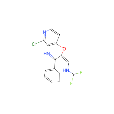 N=C(/C(=C\NC(F)F)Oc1ccnc(Cl)c1)c1ccccc1